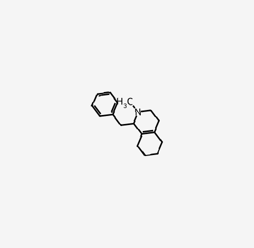 CN1CCC2=C(CCCC2)C1Cc1ccccc1